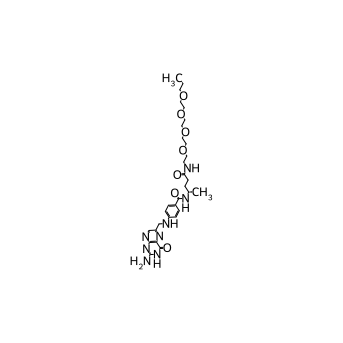 CCCOCCOCCOCCOCCNC(=O)CC[C@@H](C)NC(=O)c1ccc(NCc2cnc3nc(N)[nH]c(=O)c3n2)cc1